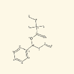 C=CCC(OC(=O)C(C)(C)CC)c1ccccc1